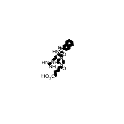 N=C(N)NCCC[C@H](NS(=O)(=O)c1ccc2ccccc2c1)C(=O)N1CCN(C(=O)CCCCC(=O)O)CC1